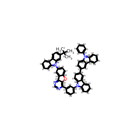 CC(C)(C)c1ccc2c3ccccc3n(-c3ccc4oc5c(-c6cccc(-n7c8ccccc8c8cc(-c9ccc%10c(c9)c9ccccc9n%10-c9ccccc9)ccc87)c6)ncnc5c4c3)c2c1